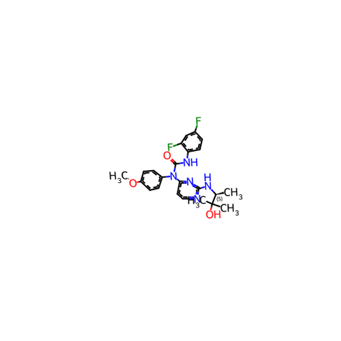 COc1ccc(N(C(=O)Nc2ccc(F)cc2F)c2ccnc(N[C@@H](C)C(C)(C)O)n2)cc1